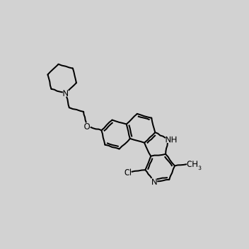 Cc1cnc(Cl)c2c1[nH]c1ccc3cc(OCCN4CCCCC4)ccc3c12